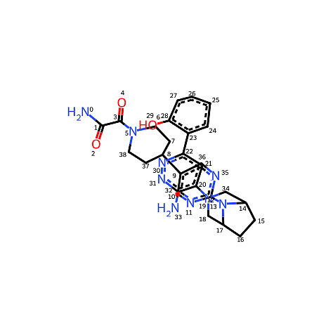 NC(=O)C(=O)N1CCC(c2cnc(N3C4CCC3CN(c3cc(-c5ccccc5O)nnc3N)C4)nc2)CC1